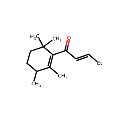 CCC=CC(=O)C1=C(C)C(C)CCC1(C)C